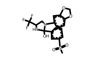 CS(=O)(=O)c1cccc(C2(O)NC(C(F)(F)F)CN2c2ccc3c(c2)OCO3)c1